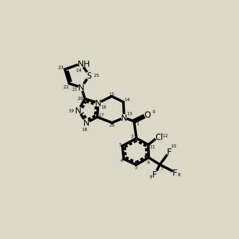 O=C(c1cccc(C(F)(F)F)c1Cl)N1CCn2c(nnc2N2C=CNS2)C1